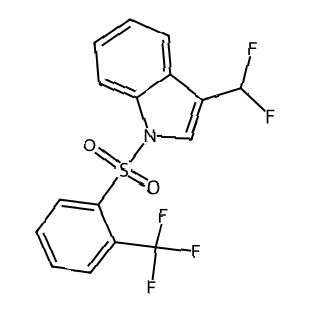 O=S(=O)(c1ccccc1C(F)(F)F)n1cc(C(F)F)c2ccccc21